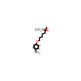 CCOC(=O)C1(CCCCCOc2ccc([N+](=O)[O-])cc2)CO1